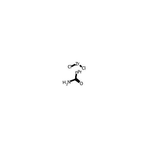 CCCC(N)=O.[Cl][Zr][Cl]